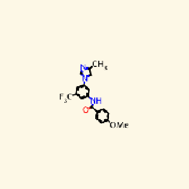 COc1ccc(C(=O)Nc2cc(-n3cnc(C)c3)cc(C(F)(F)F)c2)cc1